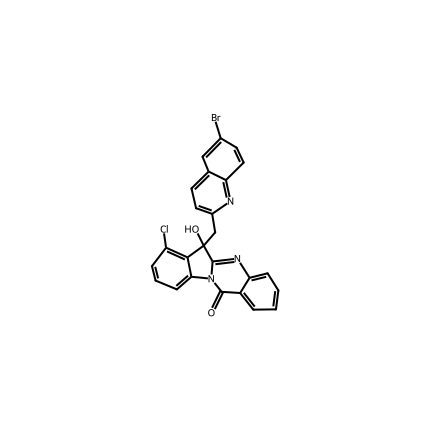 O=c1c2ccccc2nc2n1-c1cccc(Cl)c1C2(O)Cc1ccc2cc(Br)ccc2n1